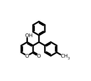 Cc1ccc(C(c2ccccc2)c2c(O)ccoc2=O)cc1